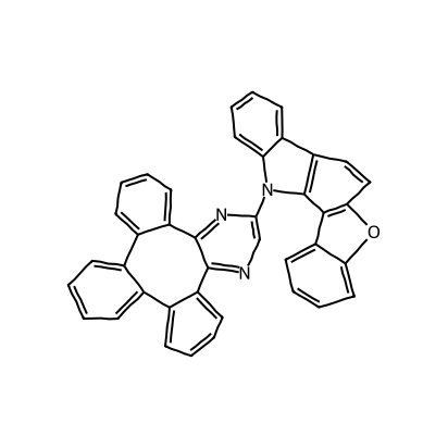 c1ccc2c(c1)-c1ccccc1-c1ncc(-n3c4ccccc4c4ccc5oc6ccccc6c5c43)nc1-c1ccccc1-2